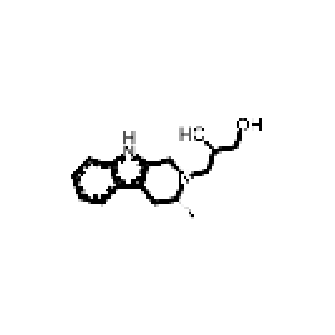 C[C@@H]1Cc2c([nH]c3ccccc23)CN1C[C@@H](O)CO